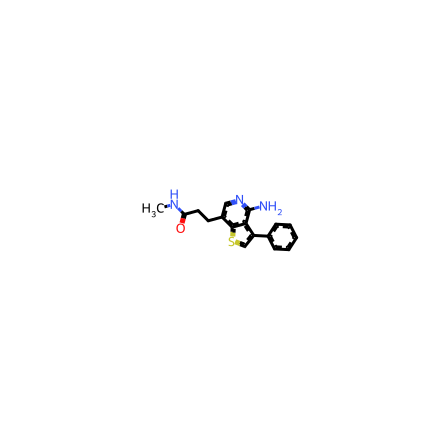 CNC(=O)CCc1cnc(N)c2c(-c3ccccc3)csc12